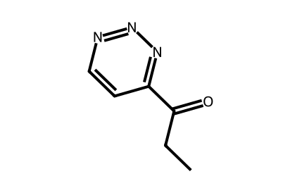 CCC(=O)c1ccnnn1